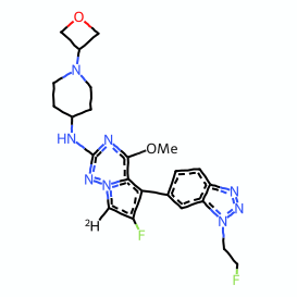 [2H]c1c(F)c(-c2ccc3nnn(CCF)c3c2)c2c(OC)nc(NC3CCN(C4COC4)CC3)nn12